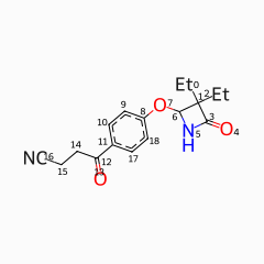 CCC1(CC)C(=O)NC1Oc1ccc(C(=O)CCC#N)cc1